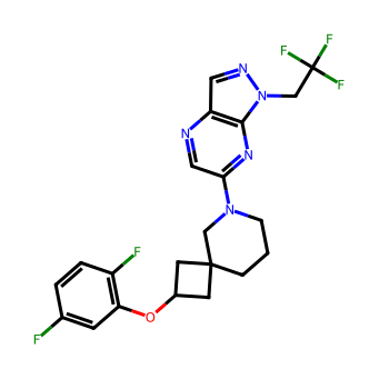 Fc1ccc(F)c(OC2CC3(CCCN(c4cnc5cnn(CC(F)(F)F)c5n4)C3)C2)c1